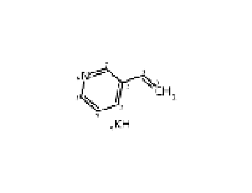 C=Cc1cccnc1.[KH]